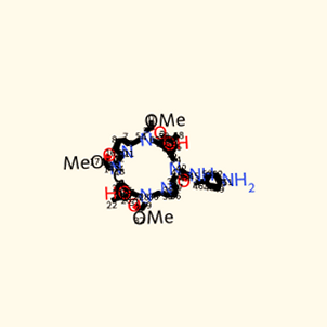 COC(=O)CN1Cc2cccc(n2)CN(CC(=O)OC)Cc2cc(C)cc(c2O)CN(CC(=O)OC)Cc2cccc(n2)CN(CC(=O)NCc2ccc(N)cc2)Cc2cc(C)cc(c2O)C1